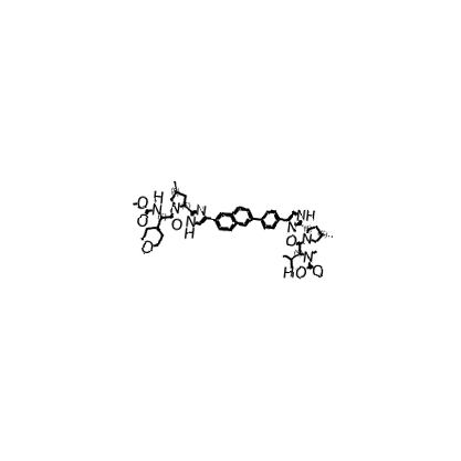 COC(=O)N[C@H](C(=O)N1C[C@@H](C)C[C@H]1c1nc(-c2ccc3cc(-c4ccc(-c5c[nH]c([C@@H]6C[C@H](C)CN6C(=O)[C@H](C(C)C)N(C)C(=O)O)n5)cc4)ccc3c2)c[nH]1)C1CCOCC1